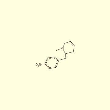 CN1CC=CCC1Cc1ccc([N+](=O)[O-])cc1